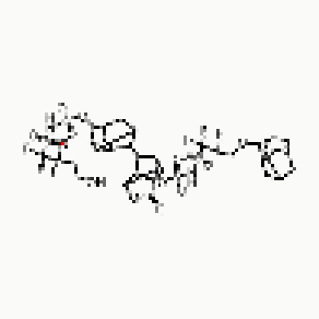 O=C1OC2C(OS(=O)(=O)NS(=O)(=O)C(F)(F)C(F)(F)COC3C4CC5CC(C4)CC3C5)C3CC1C2C3C1C2CC3CC1CC(C2)C3OS(=O)(=O)NS(=O)(=O)C(F)(F)C(F)(F)CCO